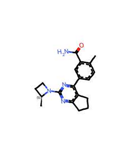 Cc1ccc(-c2nc(N3CC[C@@H]3C)nc3c2CCC3)cc1C(N)=O